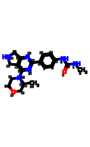 CNC(=O)Nc1ccc(-c2nc3c(c(N4CCOC[C@@H]4C)n2)CNC3)cc1